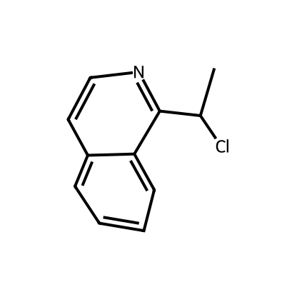 CC(Cl)c1nccc2ccccc12